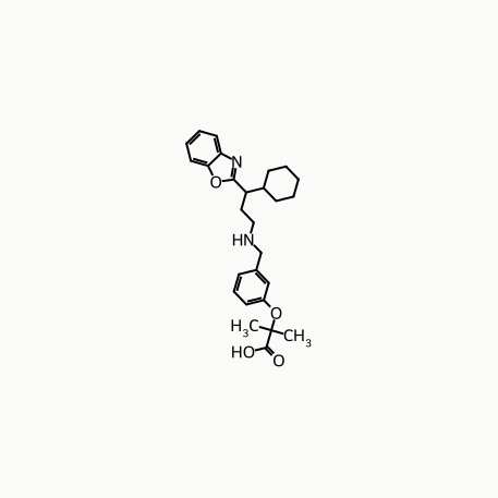 CC(C)(Oc1cccc(CNCCC(c2nc3ccccc3o2)C2CCCCC2)c1)C(=O)O